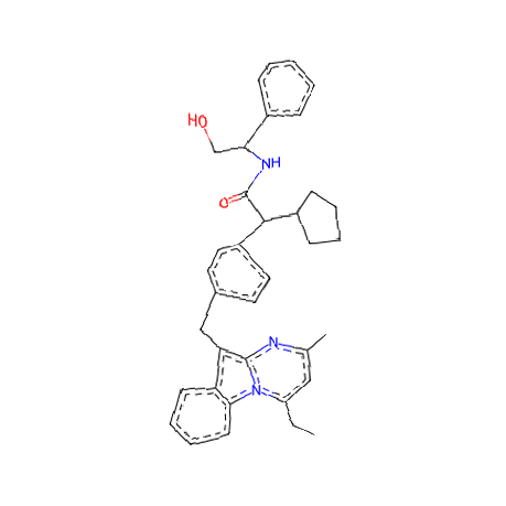 CCc1cc(C)nc2c(Cc3ccc(C(C(=O)NC(CO)c4ccccc4)C4CCCC4)cc3)c3ccccc3n12